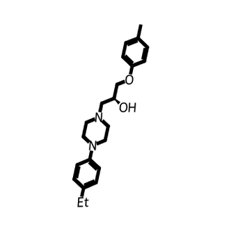 CCc1ccc(N2CCN(C[C@H](O)COc3ccc(C)cc3)CC2)cc1